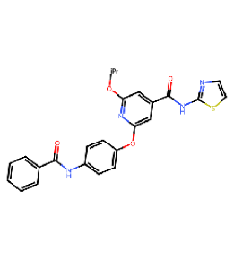 CC(C)Oc1cc(C(=O)Nc2nccs2)cc(Oc2ccc(NC(=O)c3ccccc3)cc2)n1